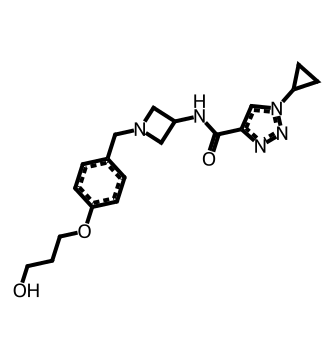 O=C(NC1CN(Cc2ccc(OCCCO)cc2)C1)c1cn(C2CC2)nn1